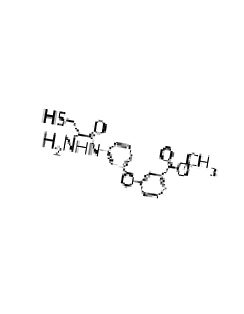 COC(=O)c1cccc(Oc2cccc(NC(=O)[C@@H](N)CS)c2)c1